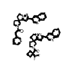 O=C(Cc1cccnc1)N1CCC2(CCn3nc(-c4cnc5ccccc5c4)cc32)C1.O=C(N1CCC2(CCn3nc(-c4cnc5ccccc5c4)cc32)C1)C1(C(F)F)CCC1